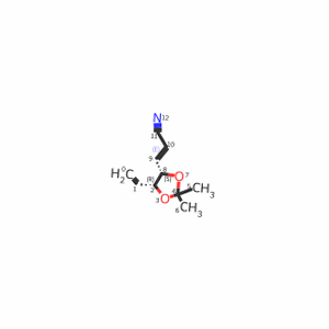 C=C[C@H]1OC(C)(C)O[C@H]1/C=C/C#N